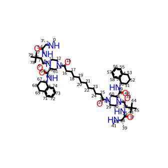 CN[C@@H](C)C(=O)N[C@H](C(=O)N1CCN(C(=O)CCCCCCCCCCC(=O)N2CCN(C(=O)[C@@H](NC(=O)[C@H](C)NC)C(C)(C)C)[C@H](C(=O)N[C@@H]3CCCc4ccccc43)C2)C[C@H]1C(=O)N[C@@H]1CCCc2ccccc21)C(C)(C)C